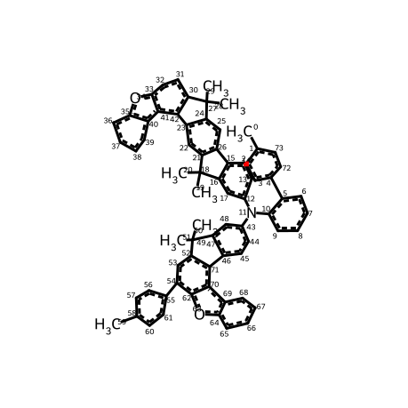 Cc1ccc(-c2ccccc2N(c2ccc3c(c2)C(C)(C)c2cc4c(cc2-3)C(C)(C)c2ccc3oc5ccccc5c3c2-4)c2ccc3c(c2)C(C)(C)c2cc(-c4ccc(C)cc4)c4oc5ccccc5c4c2-3)cc1